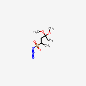 COC([SiH3])(CC(C)S(=O)(=O)N=[N+]=[N-])OC